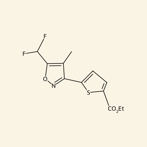 CCOC(=O)c1ccc(-c2noc(C(F)F)c2C)s1